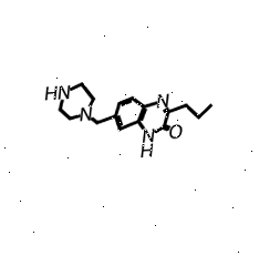 CCCc1nc2ccc(CN3CCNCC3)cc2[nH]c1=O